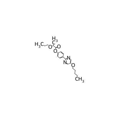 CCCCCOc1cnc(-c2ccc(OC(=O)C(C)OCCC)cc2)nc1